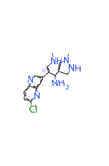 CN/C=C(/c1cnc2ccc(Cl)nc2c1)C(N)C1=CN(C)NC1